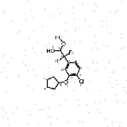 CCOC(O)C(F)(F)c1ccc(Cl)c(OC2CCCC2)c1